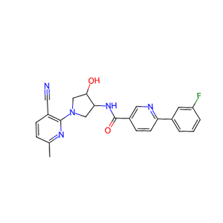 Cc1ccc(C#N)c(N2CC(O)C(NC(=O)c3ccc(-c4cccc(F)c4)nc3)C2)n1